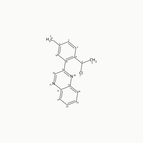 Cc1ccc(C(C)Cl)c(-c2cnc3ccccc3n2)c1